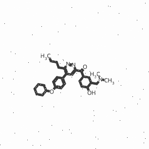 CCCCc1nnc(C(=O)C2CCC(O)C(CN(C)C)C2)cc1-c1ccc(OC2CCCCC2)cc1